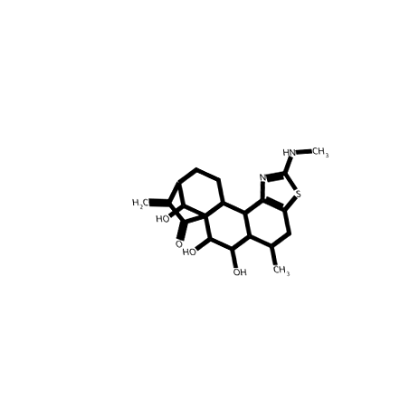 C=C1C(=O)C23C(O)C1CCC2C1c2nc(NC)sc2CC(C)C1C(O)C3O